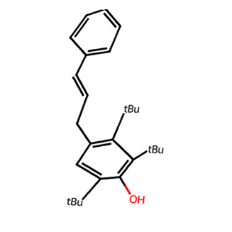 CC(C)(C)c1cc(CC=Cc2ccccc2)c(C(C)(C)C)c(C(C)(C)C)c1O